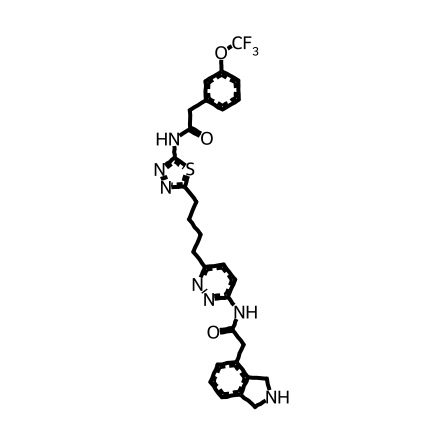 O=C(Cc1cccc2c1CNC2)Nc1ccc(CCCCc2nnc(NC(=O)Cc3cccc(OC(F)(F)F)c3)s2)nn1